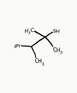 CC(C)C(C)C(C)(C)S